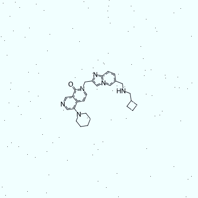 O=c1c2cncc(N3CCCCC3)c2ccn1Cc1cn2cc(CNCC3CCC3)ccc2n1